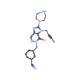 CC#CCn1c(N2CCNCC2)nc2cnn(Cc3cccc(C#N)c3)c(=O)c21